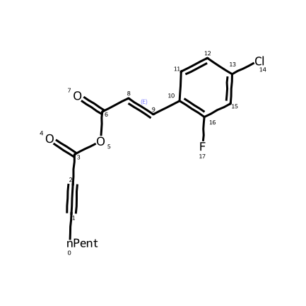 CCCCCC#CC(=O)OC(=O)/C=C/c1ccc(Cl)cc1F